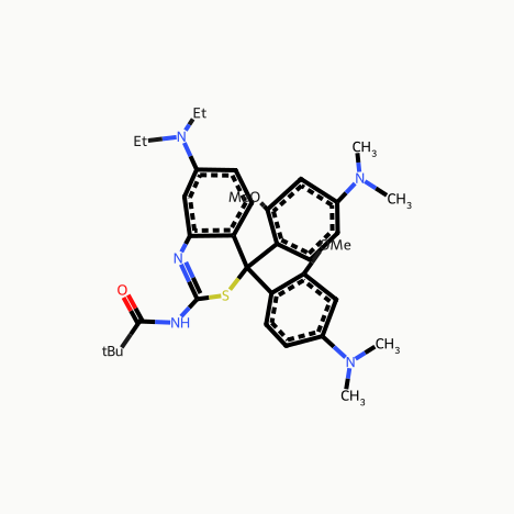 CCN(CC)c1ccc2c(c1)N=C(NC(=O)C(C)(C)C)SC2(c1ccc(N(C)C)cc1OC)c1ccc(N(C)C)cc1OC